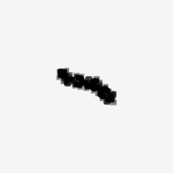 CC(C)(C)c1noc(N2CCC(C3Cc4cc(C5=CCN(S(C)(=O)=O)CC5)ncc4O3)CC2)n1